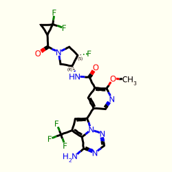 COc1ncc(-c2cc(C(F)(F)F)c3c(N)ncnn23)cc1C(=O)N[C@@H]1CN(C(=O)C2CC2(F)F)C[C@@H]1F